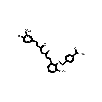 COc1cc(C=CC(=O)CC(=O)C=Cc2cccc(OC)c2OCc2ccc(C(=O)C=O)cc2)ccc1O